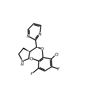 Fc1cc(F)c(Cl)c(O[C@H](c2ncccn2)[C@@H]2CCNC2)c1Cl